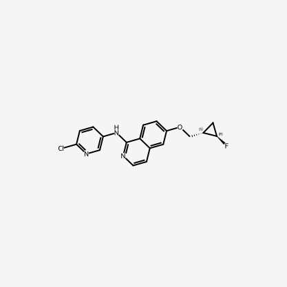 F[C@@H]1C[C@H]1COc1ccc2c(Nc3ccc(Cl)nc3)nccc2c1